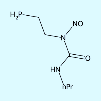 CCCNC(=O)N(CCP)N=O